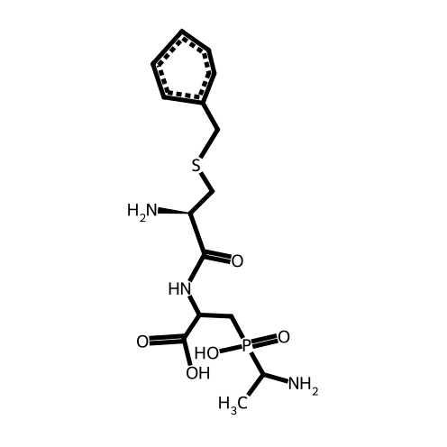 CC(N)P(=O)(O)CC(NC(=O)[C@@H](N)CSCc1ccccc1)C(=O)O